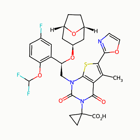 Cc1c(-c2ncco2)sc2c1c(=O)n(C1(C(=O)O)CC1)c(=O)n2C[C@H](O[C@@H]1C[C@H]2CC[C@@H](C1)O2)c1cc(F)ccc1OC(F)F